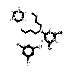 CCCCN(CCCC)c1nc(S)nc(S)n1.Sc1cc(S)cc(S)c1.c1ncncn1